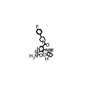 NS(=O)(=O)c1ncc(C(=O)N2CCC(c3ccc(F)cc3)CC2)c(N[C@H]2C[C@@H]3CC[C@H]2O3)c1Cl